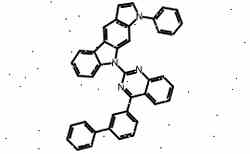 c1ccc(-c2cccc(-c3nc(-n4c5ccccc5c5cc6ccn(-c7ccccc7)c6cc54)nc4ccccc34)c2)cc1